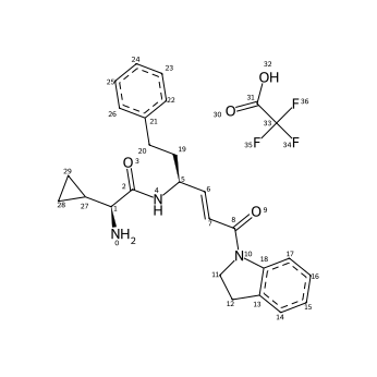 N[C@H](C(=O)N[C@H](C=CC(=O)N1CCc2ccccc21)CCc1ccccc1)C1CC1.O=C(O)C(F)(F)F